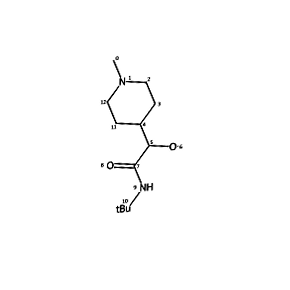 CN1CCC(C([O])C(=O)NC(C)(C)C)CC1